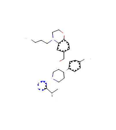 COCCCN1CCOc2ccc(CO[C@H]3CN[C@@H](C[C@@H](C)c4nnn[nH]4)C[C@@H]3c3ccc(OC)cc3)cc21